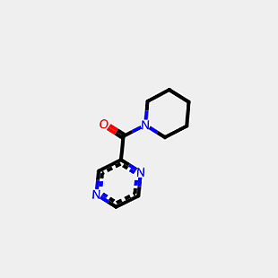 O=C(c1cnccn1)N1CCCCC1